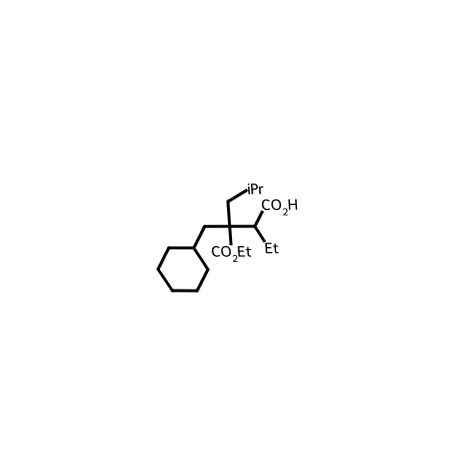 CCOC(=O)C(CC(C)C)(CC1CCCCC1)C(CC)C(=O)O